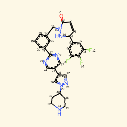 O=C1C=CC(c2cc(F)c(F)c(F)c2)NN1Cc1cccc(-c2ncc(-c3cnn(C4CCNCC4)c3)cn2)c1